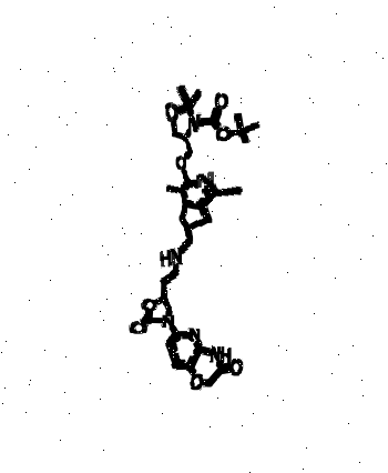 Cc1nc(OC[C@H]2COC(C)(C)N2C(=O)OC(C)(C)C)c(C)c2c1CC(CNCCC1CN(c3ccc4c(n3)NC(=O)CO4)C(=O)O1)C2